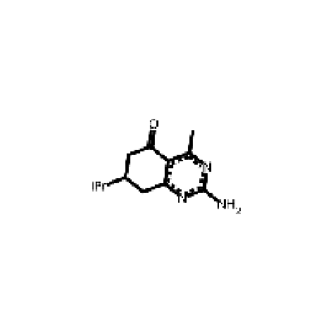 Cc1nc(N)nc2c1C(=O)CC(C(C)C)C2